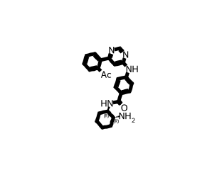 CC(=O)c1ccccc1-c1cc(Nc2ccc(C(=O)N[C@@H]3CCCC[C@H]3N)cc2)ncn1